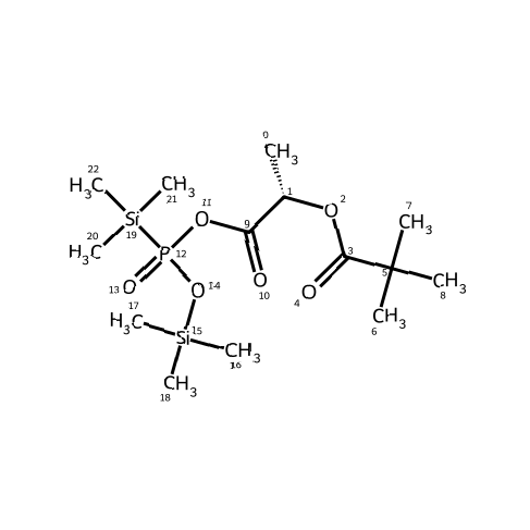 C[C@H](OC(=O)C(C)(C)C)C(=O)OP(=O)(O[Si](C)(C)C)[Si](C)(C)C